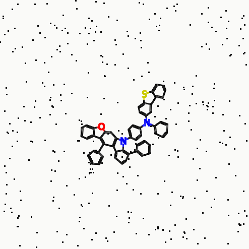 c1ccc(-c2c3c(cc4c2c2cccc(-c5ccccc5)c2n4-c2ccc(N(c4ccccc4)c4ccc5sc6ccccc6c5c4)cc2)oc2ccccc23)cc1